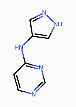 c1cc(Nc2cn[nH]c2)ncn1